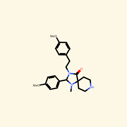 COc1ccc(CCN2C(=O)C3(CCNCC3)N(C)C2c2ccc(OC)cc2)cc1